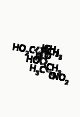 CC(C)(CCO[N+](=O)[O-])c1cc(O)c2c(c1)OC(C)(C)[C@@H]1CC=C(C(=O)O)C[C@@H]21